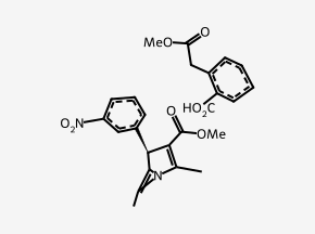 COC(=O)C1=C(C)N2C(C)=C2[C@H]1c1cccc([N+](=O)[O-])c1.COC(=O)Cc1ccccc1C(=O)O